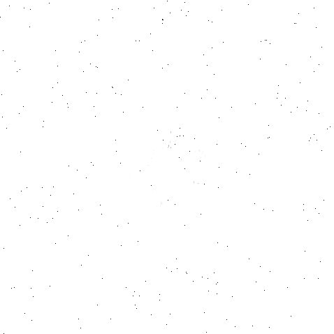 CC(OC=O)N1CCCC1c1cccc(F)c1